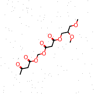 COCC(COC(=O)CC(=O)OCOC(=O)CC(C)=O)OC